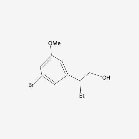 CCC(CO)c1cc(Br)cc(OC)c1